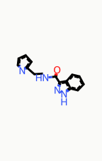 O=C(NCCc1ccccn1)c1n[nH]c2ccccc12